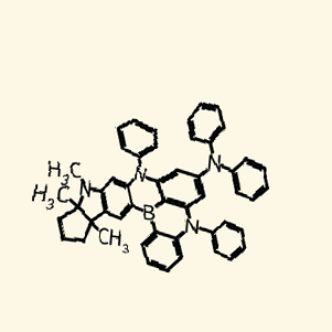 CN1c2cc3c(cc2C2(C)CCCC12C)B1c2ccccc2N(c2ccccc2)c2cc(N(c4ccccc4)c4ccccc4)cc(c21)N3c1ccccc1